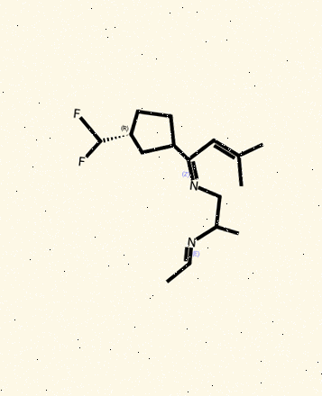 C/C=N/C(C)C/N=C(\C=C(C)C)C1CC[C@@H](C(F)F)C1